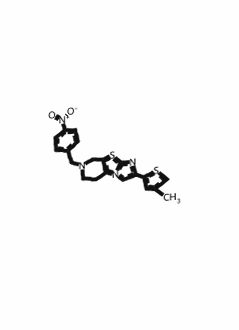 Cc1csc(-c2cn3c4c(sc3n2)CN(Cc2ccc([N+](=O)[O-])cc2)CC4)c1